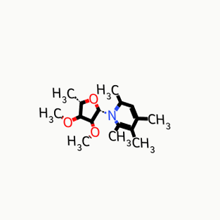 COC1C(OC)[C@@H](N2C(C)=C(C)C(C)=CC2C)O[C@H]1C